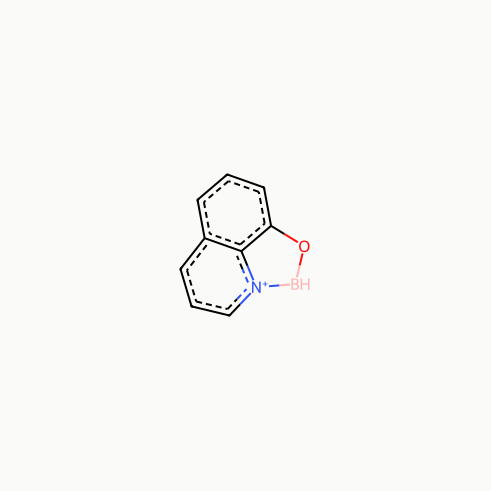 B1Oc2cccc3ccc[n+]1c23